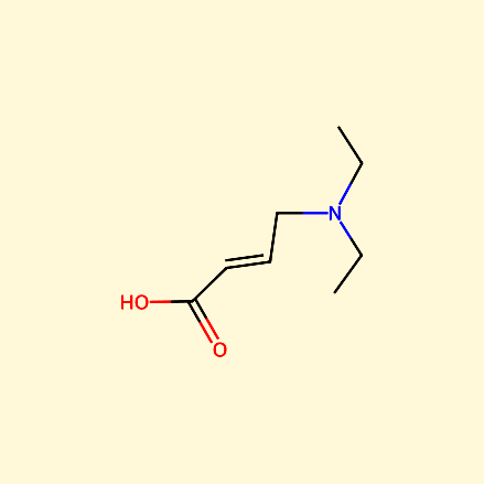 CCN(CC)CC=CC(=O)O